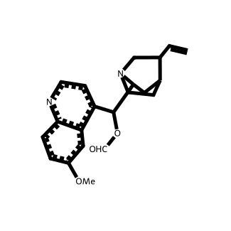 C=CC1CN2CCC1CC2C(OC=O)c1ccnc2ccc(OC)cc12